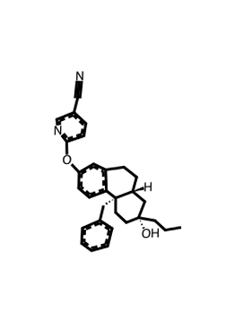 CCC[C@@]1(O)CC[C@@]2(Cc3ccccc3)c3ccc(Oc4ccc(C#N)cn4)cc3CC[C@@H]2C1